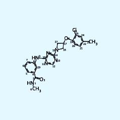 CNC(=O)c1cccc(Nc2ncnc(N3CC(Oc4ccc(C)cc4Cl)C3)n2)c1